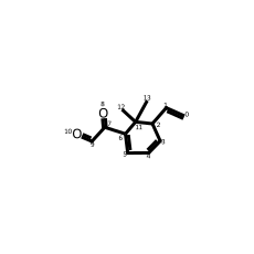 C=CC1C=CC=C(C(=O)C=O)C1(C)C